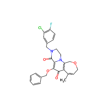 CC1=CCOCc2c1c(=O)c(OCc1ccccc1)c1n2CCN(Cc2ccc(F)c(Cl)c2)C1=O